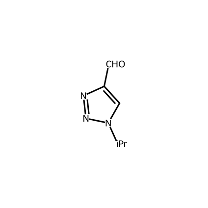 CC(C)n1cc(C=O)nn1